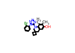 Cc1c(O)cc2c(c1C)N(c1nnnn1-c1ccccc1Br)CC1(CCC1)C2